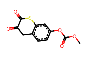 COC(=O)Oc1ccc2c(c1)SC(=O)C(=O)C2